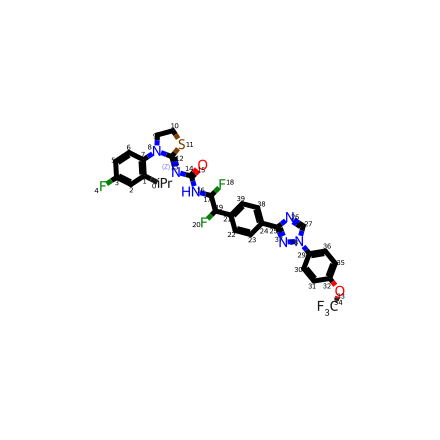 CC(C)c1cc(F)ccc1N1CCS/C1=N\C(=O)NC(F)C(F)c1ccc(-c2ncn(-c3ccc(OC(F)(F)F)cc3)n2)cc1